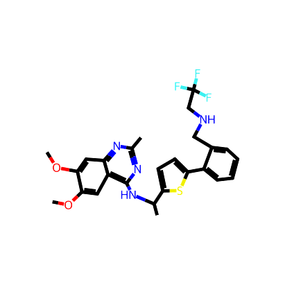 COc1cc2nc(C)nc(NC(C)c3ccc(-c4ccccc4CNCC(F)(F)F)s3)c2cc1OC